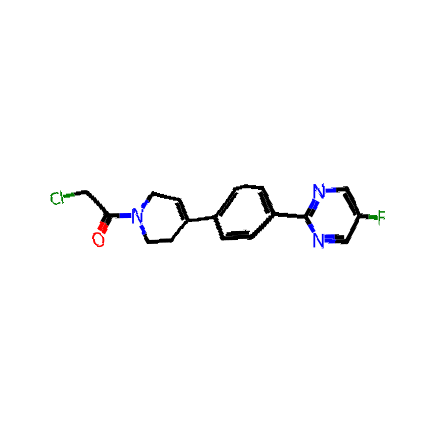 O=C(CCl)N1CC=C(c2ccc(-c3ncc(F)cn3)cc2)CC1